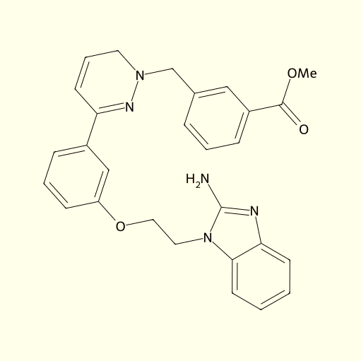 COC(=O)c1cccc(CN2CC=CC(c3cccc(OCCn4c(N)nc5ccccc54)c3)=N2)c1